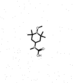 CON1C(C)(C)CC(N(C)C(=O)O)CC1(C)C